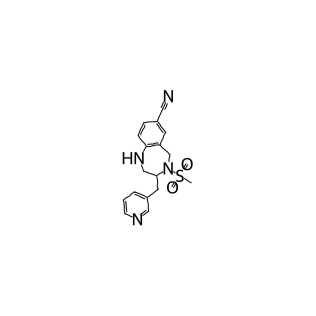 CS(=O)(=O)N1Cc2cc(C#N)ccc2NCC1Cc1cccnc1